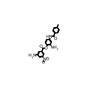 Cc1ccc(C(=O)Nc2ccc(OC(=O)c3cc(N)cc([N+](=O)[O-])c3)c(N)c2)cc1